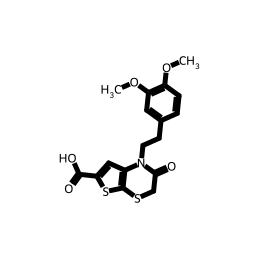 COc1ccc(CCN2C(=O)CSc3sc(C(=O)O)cc32)cc1OC